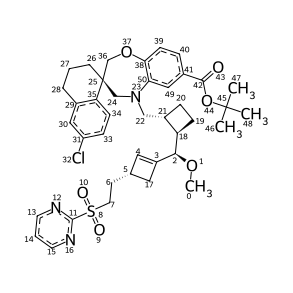 CO[C@@H](C1=C[C@@H](CCS(=O)(=O)c2ncccn2)C1)[C@@H]1CC[C@H]1CN1C[C@@]2(CCCc3cc(Cl)ccc32)COc2ccc(C(=O)OC(C)(C)C)cc21